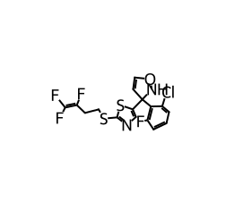 FC(F)=C(F)CCSc1ncc(C2(c3c(F)cccc3Cl)C=CON2)s1